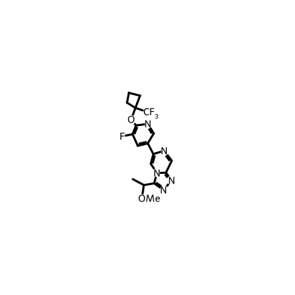 COC(C)c1nnc2cnc(-c3cnc(OC4(C(F)(F)F)CCC4)c(F)c3)cn12